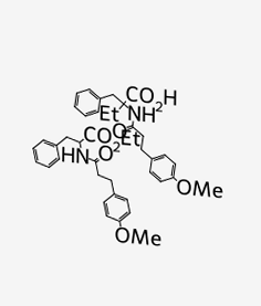 CCC(Cc1ccccc1)(NC(=O)CCc1ccc(OC)cc1)C(=O)O.CCOC(=O)C(Cc1ccccc1)NC(=O)CCc1ccc(OC)cc1